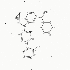 OC(c1ccc2c(c1)N(c1ncc(-c3ccccc3F)cn1)CC21CC1)C1CCOCC1